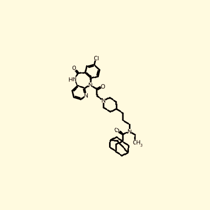 CCN(CCCC1CCN(CC(=O)N2c3ccc(Cl)cc3C(=O)Nc3cccnc32)CC1)C(=O)C12CC3CC(CC(C3)C1)C2